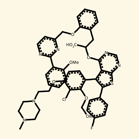 COCOc1c(-c2c(-c3ccc(F)cc3)sc3ncnc(OC(Cc4ccccc4OCc4ccnc(-c5ccccc5OC)n4)C(=O)O)c23)ccc(OCCN2CCN(C)CC2)c1Cl